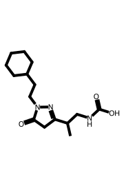 CC(CNC(=O)O)C1=NN(CCC2CCCCC2)C(=O)C1